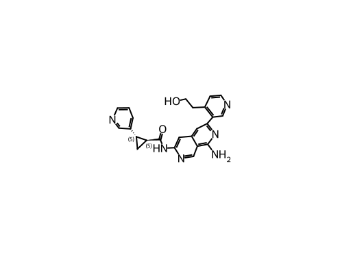 Nc1nc(-c2cnccc2CCO)cc2cc(NC(=O)[C@H]3C[C@@H]3c3cccnc3)ncc12